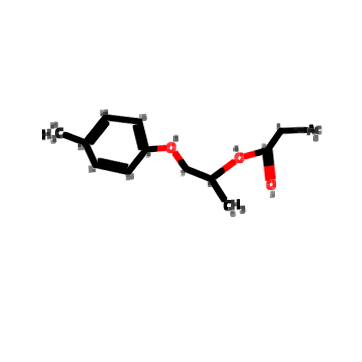 CC(=O)CC(=O)OC(C)COc1ccc(C)cc1